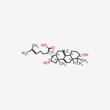 CC(C)=CCCC(C(=O)O)[C@H]1[C@H](O)C[C@@]2(C)C3=CC[C@H]4C(C)(C)[C@@H](O)CC[C@]4(C)C3=CC[C@]12C